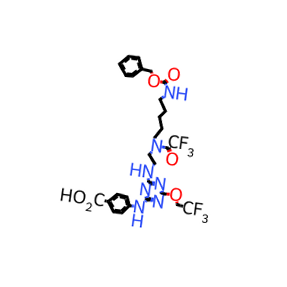 O=C(NCCCCCN(CCNc1nc(Nc2ccc(C(=O)O)cc2)nc(OCC(F)(F)F)n1)C(=O)C(F)(F)F)OCc1ccccc1